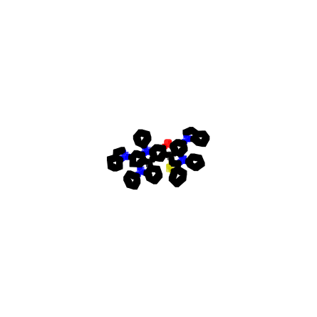 c1ccc(N2c3ccccc3B3c4cc5c(cc4N(c4ccccc4)c4cc(-n6ccc7ccccc76)cc2c43)Oc2cc(-n3ccc4ccccc43)cc3c2B5c2sc4ccccc4c2N3c2ccccc2)cc1